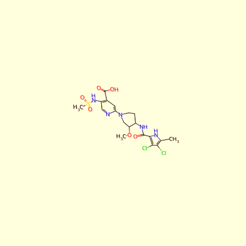 COC1CN(c2cc(C(=O)O)c(NS(C)(=O)=O)cn2)CCC1NC(=O)c1[nH]c(C)c(Cl)c1Cl